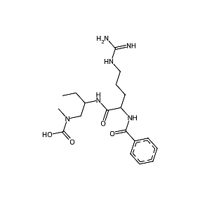 CCC(CN(C)C(=O)O)NC(=O)C(CCCNC(=N)N)NC(=O)c1ccccc1